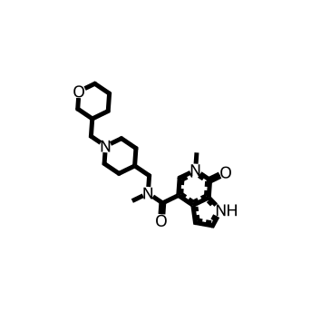 CN(CC1CCN(CC2CCCOC2)CC1)C(=O)c1cn(C)c(=O)c2[nH]ccc12